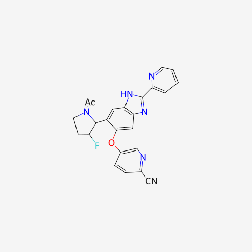 CC(=O)N1CCC(F)C1c1cc2[nH]c(-c3ccccn3)nc2cc1Oc1ccc(C#N)nc1